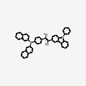 [2H]/C(=C(/[2H])c1ccc2c(c1)c1ccccc1n2-c1ccccc1)c1ccc(N(c2ccc3ccccc3c2)c2ccc3ccccc3c2)cc1